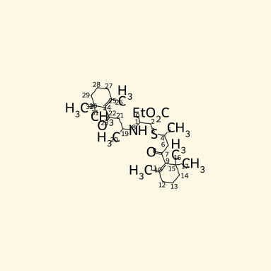 CCOC(=O)C(CSC(C)CC(=O)C1=C(C)CCCC1(C)C)NC(C)CC(=O)C1=C(C)CCCC1(C)C